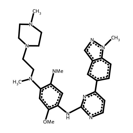 CNc1cc(Nc2nccc(-c3ccc4c(cnn4C)c3)n2)c(OC)cc1N(C)CCN1CCN(C)CC1